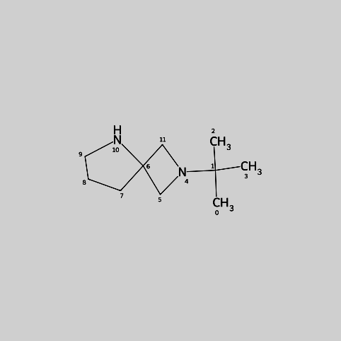 CC(C)(C)N1CC2(CCCN2)C1